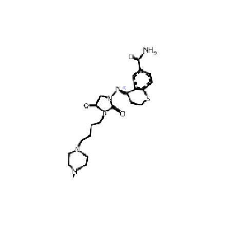 CN1CCN(CCCCN2C(=O)CN(/N=C3\CCSc4ccc(C(N)=O)cc43)C2=O)CC1